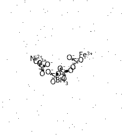 B.O=[Si]([O-])[O-].O=[Si]([O-])[O-].O=[Si]([O-])[O-].O=[Si]([O-])[O-].[Cr+3].[Fe+3].[Ni+2]